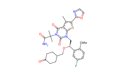 COc1ccc(F)cc1[C@H](Cn1c(=O)n(C(C)(C)C(N)=O)c(=O)c2c(C)c(-c3ncco3)sc21)OCC1CCC(=O)CC1